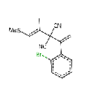 C=C(c1ccccc1Br)C(C#N)(C#N)C(C)=CSC